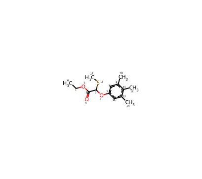 CCOC(=O)C(Oc1cc(C)c(C)c(C)c1)SC